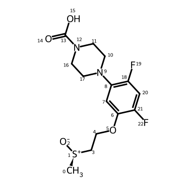 C[S@@+]([O-])CCOc1cc(N2CCN(C(=O)O)CC2)c(F)cc1F